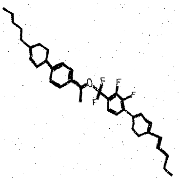 CCCCCC1CCC(c2ccc(C(C)OC(F)(F)c3ccc(C4CCC(CCCCC)CC4)c(F)c3F)cc2)CC1